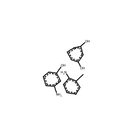 Cc1ccccc1N.Nc1cccc(O)c1.Oc1cccc(O)c1